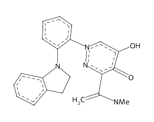 C=C(NC)c1nn(-c2ccccc2N2CCc3ccccc32)cc(O)c1=O